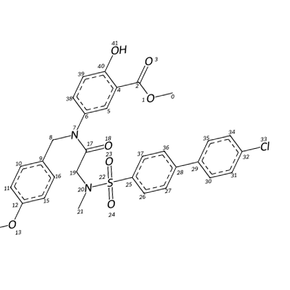 COC(=O)c1cc(N(Cc2ccc(OC)cc2)C(=O)CN(C)S(=O)(=O)c2ccc(-c3ccc(Cl)cc3)cc2)ccc1O